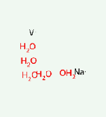 O.O.O.O.O.[Na].[V]